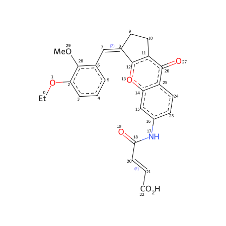 CCOc1cccc(/C=C2/CCc3c2oc2cc(NC(=O)/C=C/C(=O)O)ccc2c3=O)c1OC